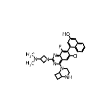 CN(C)C1CN(c2nc(N3CCNC4CCC43)c3cc(Cl)c(-c4cc(O)cc5ccccc45)c(F)c3n2)C1